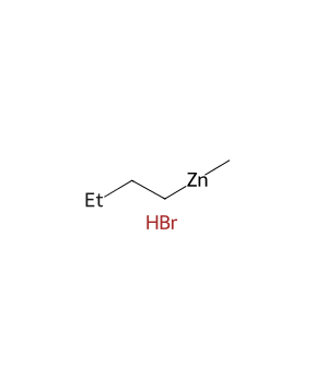 Br.CCC[CH2][Zn][CH3]